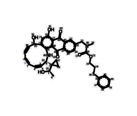 C[C@@H](O)C1([C@@H]2C#C/C=C\C#C[C@@H](O)c3cc(O)c4c(c3N2)C(=O)c2ccc(CN(C)C(=O)OCCSc3ccccc3)cc2C4=O)CC1